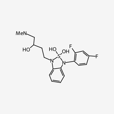 CNCC(O)CCN1c2ccccc2N(c2ccc(F)cc2F)S1(O)O